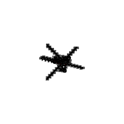 CCCCCCCCCCCCCC(CCCCCCCCCCCCC)C(CCCCCCCCCCCCC)(C1=C(C)CC(=O)C(C(C)(C)C)=C1)C(CCCCCCCCCCCCC)(CCCCCCCCCCCCC)C(CCCCCCCCCCCCC)(C1=C(C)CC(=O)C(C(C)(C)C)=C1)C1=C(C)CC(=O)C(C(C)(C)C)=C1